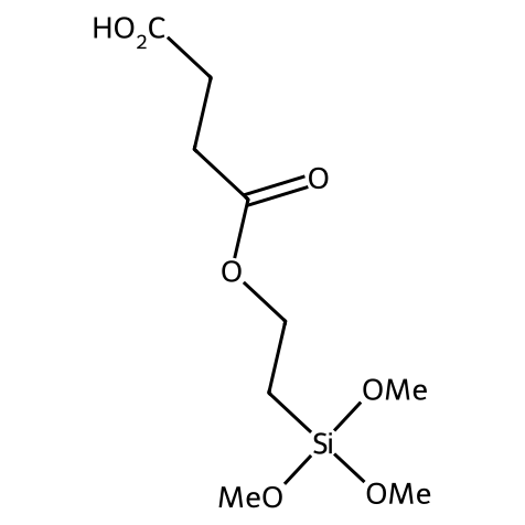 CO[Si](CCOC(=O)CCC(=O)O)(OC)OC